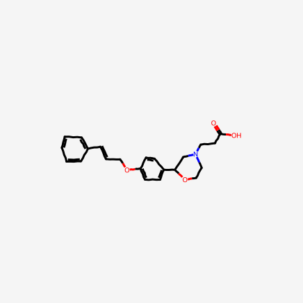 O=C(O)CCN1CCOC(c2ccc(OC/C=C/c3ccccc3)cc2)C1